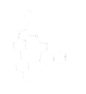 CN(c1nc(-c2ccc(F)cc2)c(C(=O)C(F)(F)F)s1)c1c(CCC#N)nc2ccc(C3CCN([S+](C)[O-])CC3)nn12